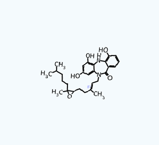 C/C(=C\CN1C(=O)c2cccc(O)c2Nc2c(O)cc(O)cc21)CCC1OC1(C)CCCC(C)C